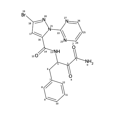 NC(=O)C(=O)C(Cc1ccccc1)NC(=O)c1cc(Br)nn1-c1ncccn1